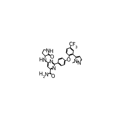 Cn1nccc1-c1cc(C(F)(F)F)ccc1Oc1ccc(-c2nc(NC3CCNC3=O)cc(C(N)=O)n2)cc1